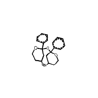 BrC1CCOC(OC2(c3ccccc3)CC(Br)CCO2)(c2ccccc2)C1